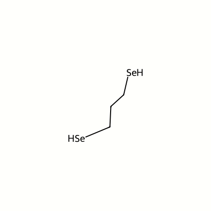 [SeH]CCC[SeH]